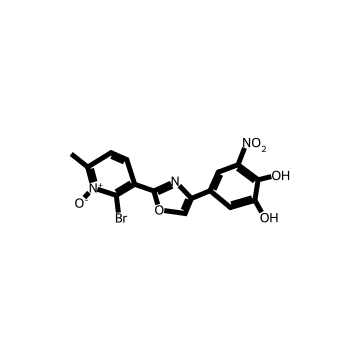 Cc1ccc(-c2nc(-c3cc(O)c(O)c([N+](=O)[O-])c3)co2)c(Br)[n+]1[O-]